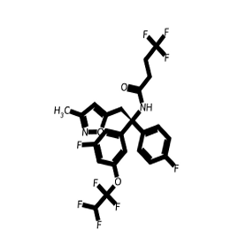 Cc1cc(C[C@@](NC(=O)CCC(F)(F)F)(c2ccc(F)cc2)c2cc(F)cc(OC(F)(F)C(F)F)c2)on1